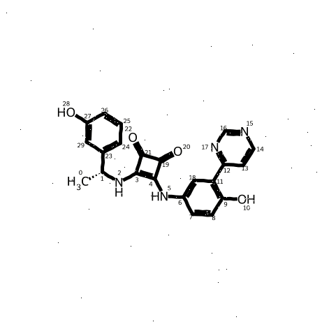 C[C@@H](Nc1c(Nc2ccc(O)c(-c3ccncn3)c2)c(=O)c1=O)c1cccc(O)c1